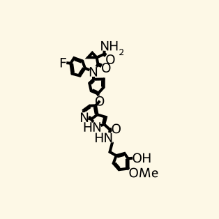 COc1ccc(CCNC(=O)c2cc3c(Oc4ccc(N(C(=O)C5(C(N)=O)CC5)c5ccc(F)cc5)cc4)ccnc3[nH]2)cc1O